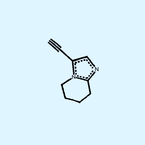 C#Cc1cnc2n1CCCC2